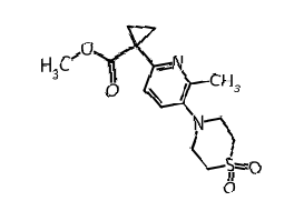 COC(=O)C1(c2ccc(N3CCS(=O)(=O)CC3)c(C)n2)CC1